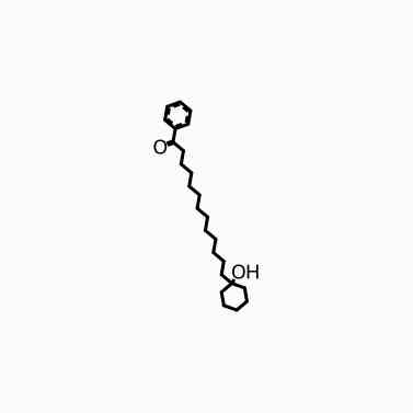 O=C(CCCCCCCCCCCCC1(O)CCCCC1)c1ccccc1